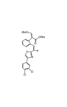 CO/C=C(/C(=O)OC)c1ccccc1/C=C(/F)c1nc(-c2ccc(Cl)c(Cl)c2)cs1